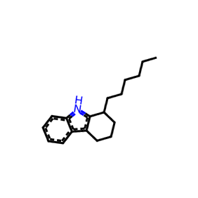 CCCCCCC1CCCc2c1[nH]c1ccccc21